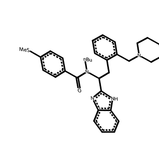 CCCCN(C(=O)c1ccc(SC)cc1)C(Cc1ccccc1CN1CCCCC1)c1nc2ccccc2[nH]1